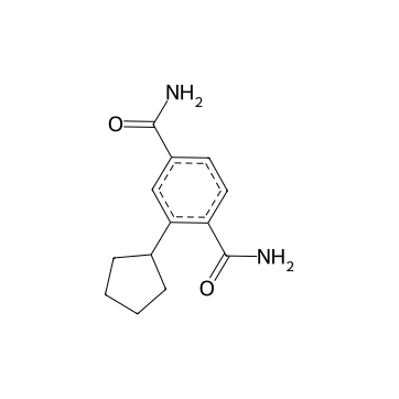 NC(=O)c1ccc(C(N)=O)c(C2CCCC2)c1